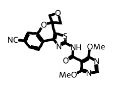 COc1ncnc(OC)c1C(=O)Nc1nc2c(s1)C1(COC1)Oc1cc(C#N)ccc1-2